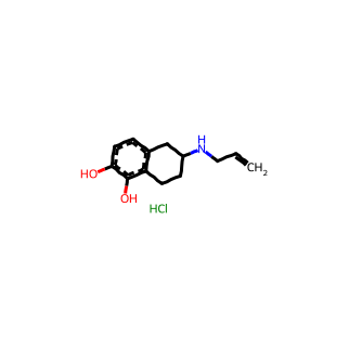 C=CCNC1CCc2c(ccc(O)c2O)C1.Cl